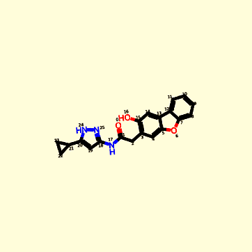 O=C(Cc1cc2oc3ccccc3c2cc1O)Nc1cc(C2CC2)[nH]n1